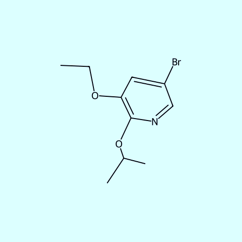 CCOc1cc(Br)cnc1OC(C)C